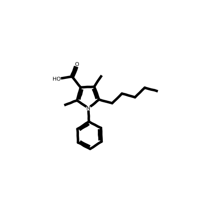 CCCCCc1c(C)c(C(=O)O)c(C)n1-c1ccccc1